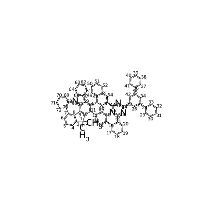 CC1(C)c2cccc3c2-c2c1c(-c1ccc(-c4ccccc4-c4nc(-c5cc(-c6ccccc6)cc(-c6ccccc6)c5)nc(-c5ccc6ccccc6c5)n4)cc1)cc1c4ccccc4n(c21)-c1ccccc1-3